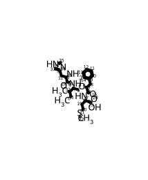 CCC(C)C(COC(Cc1ccccc1)C(=O)NC(CCSC)C(=O)O)NC(=O)[C@@H](N)Cc1c[nH]cn1